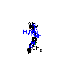 Cc1csc2c(-n3nc(Nc4ccc(N5CCN(C6CC7CCC6C7)[C@@H](C)C5)c(F)c4)nc3N)ncnc12